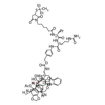 CCC(C)(CC)SC1CC(=O)N(CCCCCC(=O)N[C@H](C(=O)N[C@@H](CCCNC(N)=O)C(=O)Nc2ccc(COC(=O)NC[C@H]3Cc4c([nH]c5ccccc45)[C@@]4(CS[C@@H]5c6c(OC(C)=O)c(C)c7c(c6[C@H](COC4=O)N4[C@@H]5[C@@H]5c6c(cc(C)c(OC)c6O)CC4(C#N)CN5C)OCO7)N3)cc2)C(C)C)C1=O